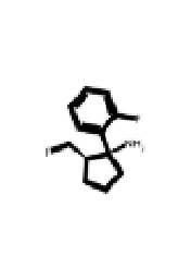 N[C@@]1(c2ccccc2F)CCC[C@H]1CF